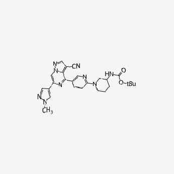 Cn1cc(-c2cn3ncc(C#N)c3c(-c3ccc(N4CCCC(NC(=O)OC(C)(C)C)C4)nc3)n2)cn1